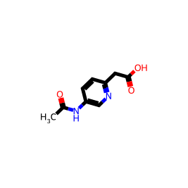 CC(=O)Nc1ccc(CC(=O)O)nc1